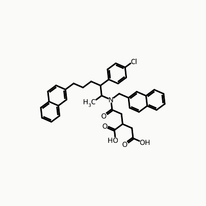 CC(C(CCCc1ccc2ccccc2c1)c1ccc(Cl)cc1)N(Cc1ccc2ccccc2c1)C(=O)CC(CC(=O)O)C(=O)O